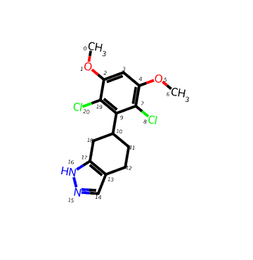 COc1cc(OC)c(Cl)c(C2CCc3cn[nH]c3C2)c1Cl